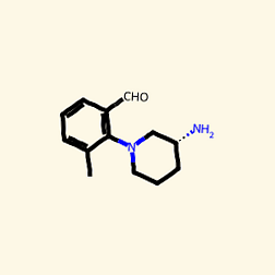 Cc1cccc(C=O)c1N1CCC[C@@H](N)C1